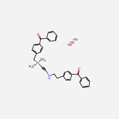 Br.Br.Br.C[N+](C)(C#CNCCc1ccc(C(=O)c2ccccc2)cc1)Cc1ccc(C(=O)c2ccccc2)cc1